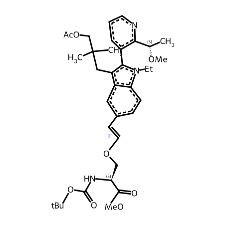 CCn1c(-c2cccnc2[C@H](C)OC)c(CC(C)(C)COC(C)=O)c2cc(/C=C/OC[C@H](NC(=O)OC(C)(C)C)C(=O)OC)ccc21